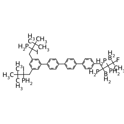 BC(C)(F)C(P)(P)C(B)(P)Cc1ccc(-c2ccc(-c3ccc(-c4cc(CC(P)(I)C(C)(C)C)cc(CC(P)(I)C(C)(C)C)c4)cc3)cc2)cc1